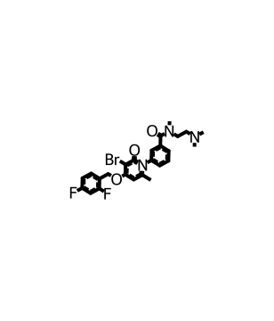 Cc1cc(OCc2ccc(F)cc2F)c(Br)c(=O)n1-c1cccc(C(=O)N(C)CCN(C)C)c1